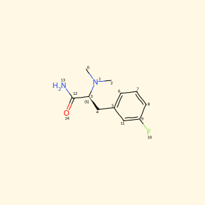 CN(C)[C@@H](Cc1cccc(F)c1)C(N)=O